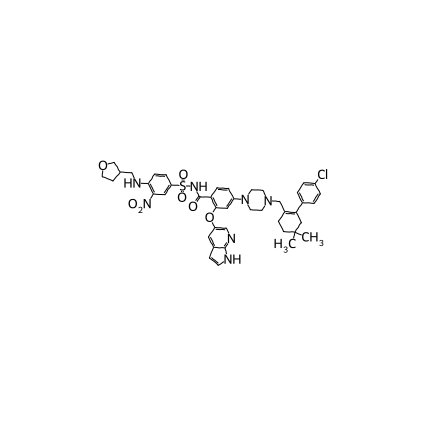 CC1(C)CCC(CN2CCN(c3ccc(C(=O)NS(=O)(=O)c4ccc(NCC5CCOC5)c([N+](=O)[O-])c4)c(Oc4cnc5[nH]ccc5c4)c3)CC2)=C(c2ccc(Cl)cc2)C1